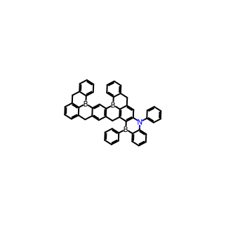 c1ccc(B2c3ccccc3N(c3ccccc3)c3cc4c5c(c32)Cc2cc3c(cc2B5c2ccccc2C4)B2c4ccccc4Cc4cccc(c42)C3)cc1